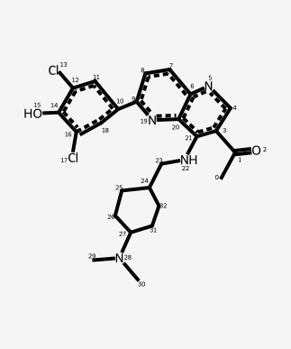 CC(=O)c1cnc2ccc(-c3cc(Cl)c(O)c(Cl)c3)nc2c1NCC1CCC(N(C)C)CC1